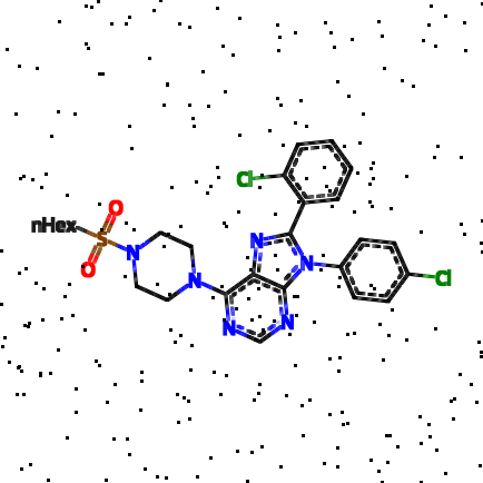 CCCCCCS(=O)(=O)N1CCN(c2ncnc3c2nc(-c2ccccc2Cl)n3-c2ccc(Cl)cc2)CC1